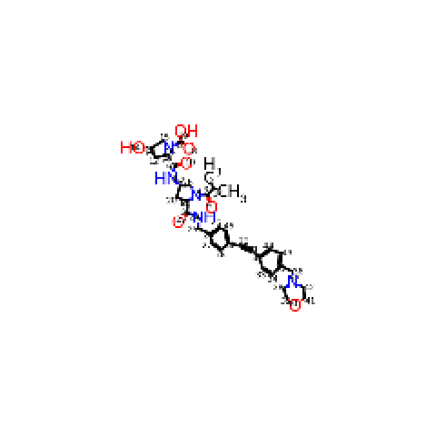 CC(C)C(=O)N1C[C@H](NC(=O)[C@@H]2C[C@H](O)CN2C(=O)O)C[C@@H]1C(=O)NCc1ccc(C#Cc2ccc(CN3CCOCC3)cc2)cc1